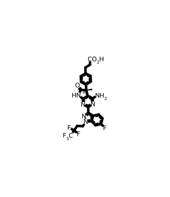 C[C@]1(c2ccc(CCC(=O)O)cc2)C(=O)Nc2nc(-c3nn(CCC(F)(F)C(F)(F)F)c4cc(F)ccc34)nc(N)c21